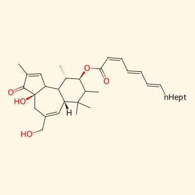 CCCCCCC/C=C/C=C/C=C\C(=O)O[C@H]1C(C)C(C)(C)[C@@H]2C=C(CO)C[C@]3(O)C(=O)C(C)=CC3C2[C@@H]1C